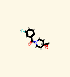 O=C(c1cccc(F)c1)N1CCC2(CC1)CO2